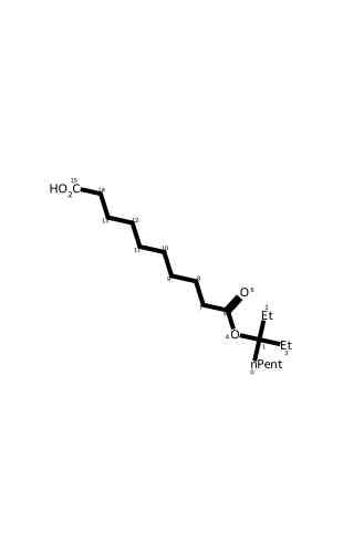 CCCCCC(CC)(CC)OC(=O)CCCCCCCCC(=O)O